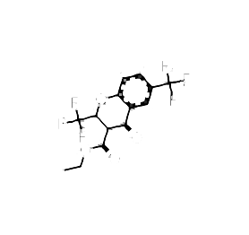 CCOC(=O)C1C(=O)c2cc(C(F)(F)F)ccc2OC1C(F)(F)F